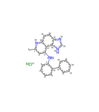 Cc1cc(Nc2ccccc2-c2ccccc2)c2c(ccc3nc[nH]c32)n1.Cl